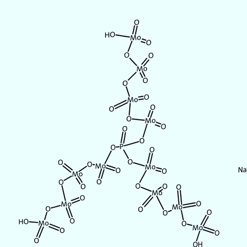 O=P([O][Mo](=[O])(=[O])[O][Mo](=[O])(=[O])[O][Mo](=[O])(=[O])[O][Mo](=[O])(=[O])[OH])([O][Mo](=[O])(=[O])[O][Mo](=[O])(=[O])[O][Mo](=[O])(=[O])[O][Mo](=[O])(=[O])[OH])[O][Mo](=[O])(=[O])[O][Mo](=[O])(=[O])[O][Mo](=[O])(=[O])[O][Mo](=[O])(=[O])[OH].[Na+]